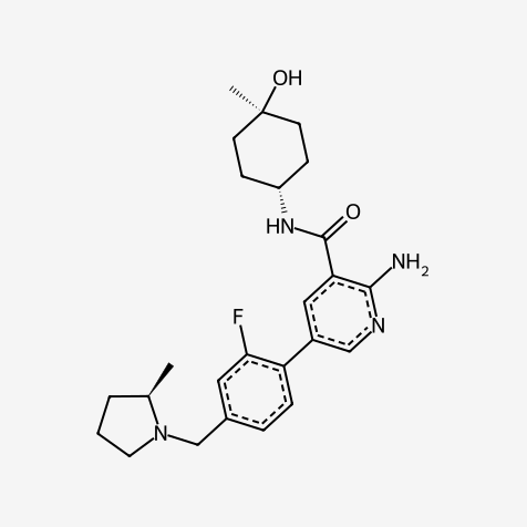 C[C@@H]1CCCN1Cc1ccc(-c2cnc(N)c(C(=O)N[C@H]3CC[C@](C)(O)CC3)c2)c(F)c1